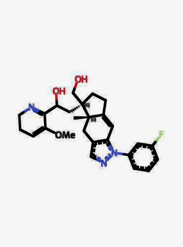 COC1=CCCN=C1C(O)C[C@]1(CO)CCC2=Cc3c(cnn3-c3cccc(F)c3)C[C@@]21C